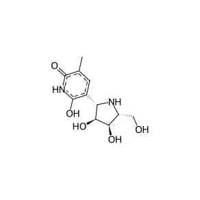 Cc1cc([C@@H]2N[C@H](CO)[C@@H](O)[C@H]2O)c(O)[nH]c1=O